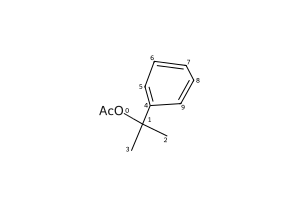 CC(=O)OC(C)(C)c1ccccc1